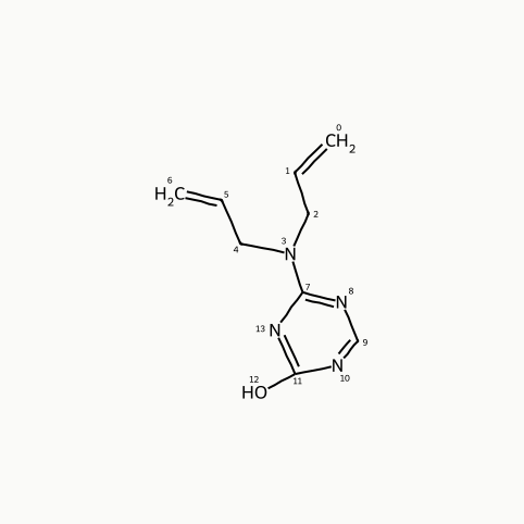 C=CCN(CC=C)c1ncnc(O)n1